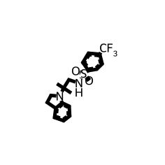 CC(C)(CNS(=O)(=O)c1ccc(C(F)(F)F)cc1)N1CCc2ccccc21